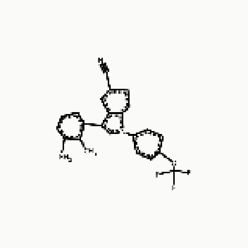 Cc1c(N)cccc1-c1cn(-c2ccc(OC(F)(F)F)cc2)c2ccc(C#N)cc12